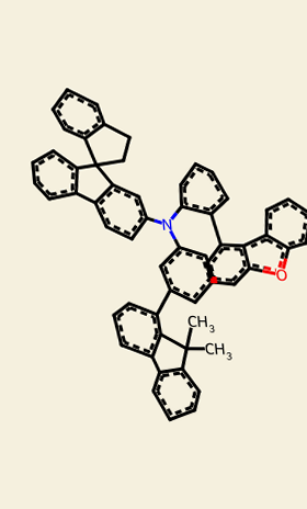 CC1(C)c2ccccc2-c2cccc(-c3cccc(N(c4ccc5c(c4)C4(CCc6ccccc64)c4ccccc4-5)c4ccccc4-c4cccc5oc6ccccc6c45)c3)c21